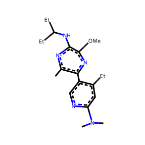 CCc1cc(N(C)C)ncc1-c1nc(OC)c(NC(CC)CC)nc1C